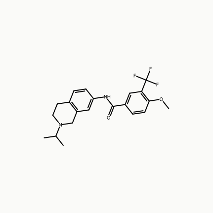 COc1ccc(C(=O)Nc2ccc3c(c2)CN(C(C)C)CC3)cc1C(F)(F)F